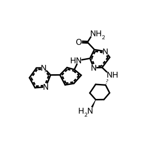 NC(=O)c1ncc(N[C@H]2CC[C@H](N)CC2)nc1Nc1cccc(-c2ncccn2)c1